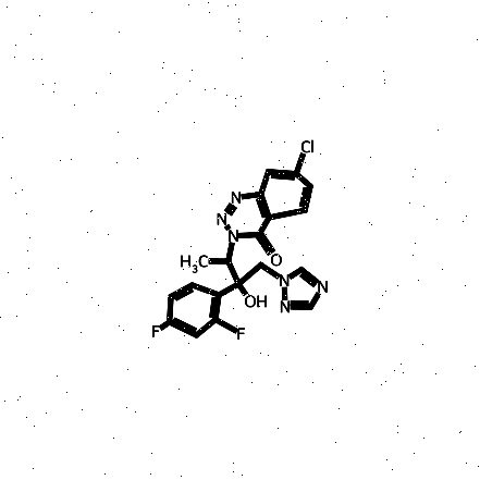 CC(n1nnc2cc(Cl)ccc2c1=O)C(O)(Cn1cncn1)c1ccc(F)cc1F